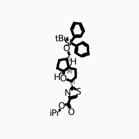 CC(C)OC(=O)c1csc([C@H]2CC[C@@H]3[C@@H](CO[Si](c4ccccc4)(c4ccccc4)C(C)(C)C)CC[C@@H]3O2)n1